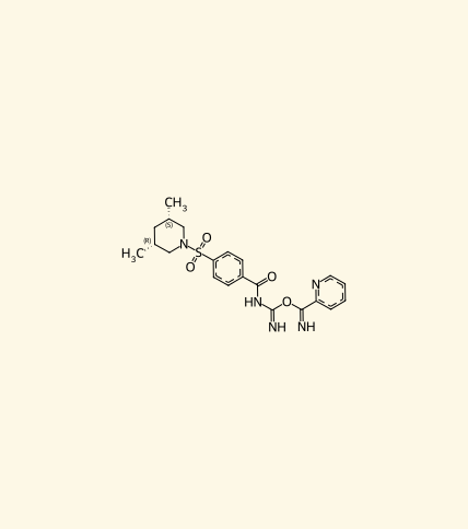 C[C@@H]1C[C@H](C)CN(S(=O)(=O)c2ccc(C(=O)NC(=N)OC(=N)c3ccccn3)cc2)C1